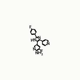 Nc1ncc(-c2[nH]c(-c3ccc(F)cc3)nc2-c2ccncc2)cc1F